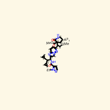 CCn1nccc1C(=O)N[C@H](c1cn2nc(C(COC)C3(C(=O)OC)C[C@@H](C(F)(F)F)CNC3=O)ccc2n1)C(C1CC1)C1CC1